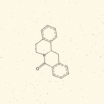 O=C1c2ccccc2CC2c3ccccc3CCN12